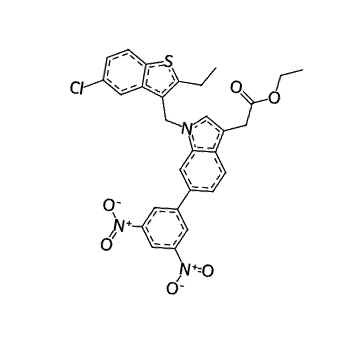 CCOC(=O)Cc1cn(Cc2c(CC)sc3ccc(Cl)cc23)c2cc(-c3cc([N+](=O)[O-])cc([N+](=O)[O-])c3)ccc12